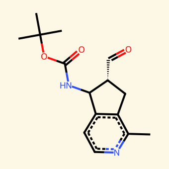 Cc1nccc2c1C[C@@H](C=O)C2NC(=O)OC(C)(C)C